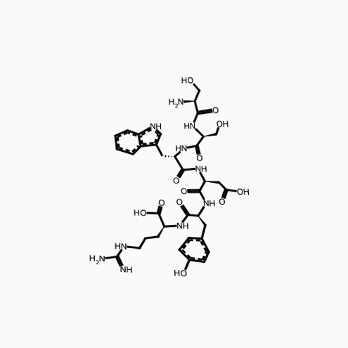 N=C(N)NCCC[C@H](NC(=O)[C@H](Cc1ccc(O)cc1)NC(=O)[C@H](CC(=O)O)NC(=O)[C@H](Cc1c[nH]c2ccccc12)NC(=O)[C@H](CO)NC(=O)[C@@H](N)CO)C(=O)O